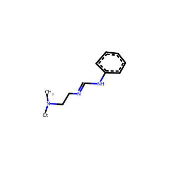 CCN(C)CC/N=C/Nc1ccccc1